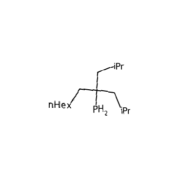 CCCCCCCC(P)(CC(C)C)CC(C)C